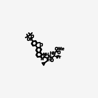 COC(=O)N[C@H](C(=O)NC(CC1CC1)c1nc2ccc3cc4c(cc3c2[nH]1)OCc1cc(B2OC(C)(C)C(C)(C)O2)ccc1-4)C(C)C